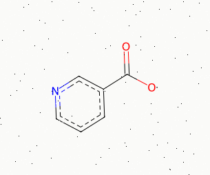 [O]C(=O)c1cccnc1